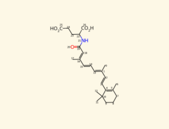 CC(C=CC1=C(C)CCCC1(C)C)=CC=CC(C)=CC(=O)NC(CCC(=O)O)C(=O)O